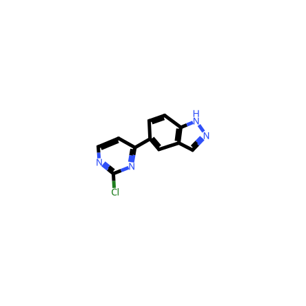 Clc1nccc(-c2ccc3[nH]ncc3c2)n1